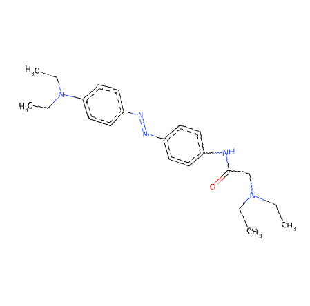 CCN(CC)CC(=O)Nc1ccc(/N=N/c2ccc(N(CC)CC)cc2)cc1